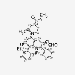 C=CC(=O)N1CCN(c2nc(=O)n(-c3c(CC)ccnc3C(C)C)c3nc(-c4ccccc4C=O)c(Cl)cc23)[C@@H](C)C1